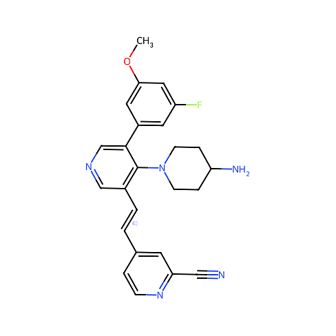 COc1cc(F)cc(-c2cncc(/C=C/c3ccnc(C#N)c3)c2N2CCC(N)CC2)c1